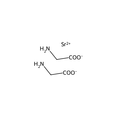 NCC(=O)[O-].NCC(=O)[O-].[Sr+2]